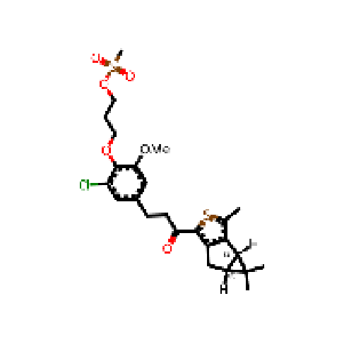 COc1cc(CCC(=O)c2sc(C)c3c2C[C@@H]2[C@H]3C2(C)C)cc(Cl)c1OCCCOS(C)(=O)=O